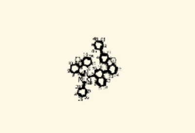 C1=CC2=C(c3nc(C4=CCCc5oc6c(c54)CCC=C6)nc(-c4ccccc4)n3)C=CC(C3=CC=CC4Oc5cc(-c6ccccc6)ccc5C34)C2C=C1